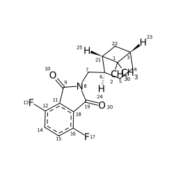 CC1(C)[C@H]2CC[C@@H](CN3C(=O)c4c(F)ccc(F)c4C3=O)[C@@H]1C2